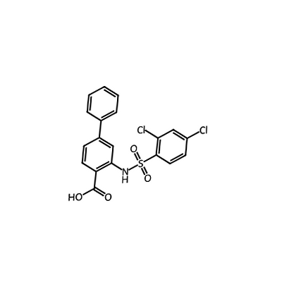 O=C(O)c1ccc(-c2ccccc2)cc1NS(=O)(=O)c1ccc(Cl)cc1Cl